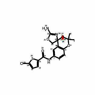 CC1(C)Oc2ccc(NC(=O)c3ccc(Cl)s3)cc2C2(COC(N)=N2)C12COC2